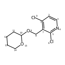 Clc1ccnc(Cl)c1COC1CCCCO1